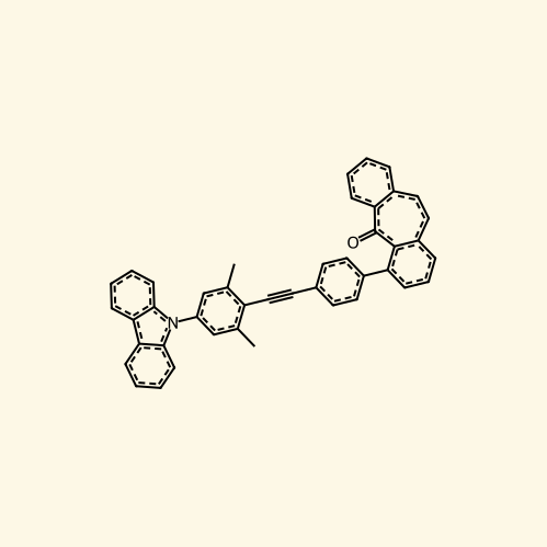 Cc1cc(-n2c3ccccc3c3ccccc32)cc(C)c1C#Cc1ccc(-c2cccc3ccc4ccccc4c(=O)c23)cc1